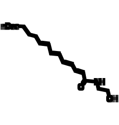 CCCCCCCCCCCCCC=CC=CC=CC=CC(=O)NCCO